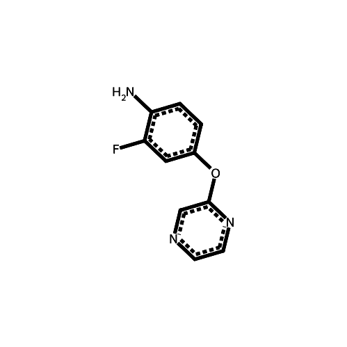 Nc1ccc(Oc2cnccn2)cc1F